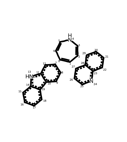 C1=CC=CNC=C1.c1ccc2c(c1)[nH]c1ccccc12.c1ccc2ncccc2c1